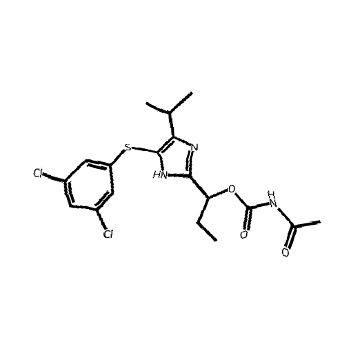 CCC(OC(=O)NC(C)=O)c1nc(C(C)C)c(Sc2cc(Cl)cc(Cl)c2)[nH]1